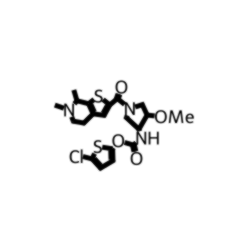 COC1CN(C(=O)c2cc3c(s2)C(C)N(C)CC3)CC1NC(=O)Oc1ccc(Cl)s1